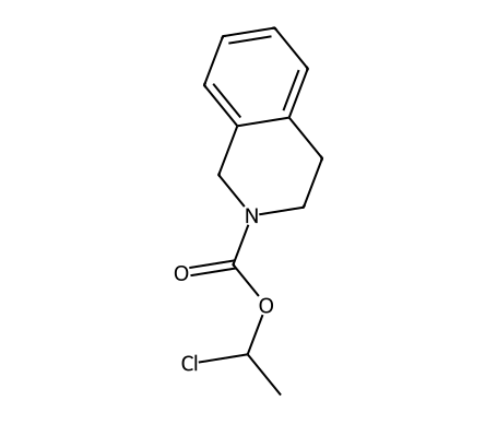 CC(Cl)OC(=O)N1CCc2ccccc2C1